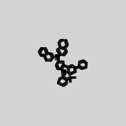 CC1(C)C2=C(CCC=C2)n2c3ccc(N(c4ccc5c(c4)CCC=C5)c4ccc5ccccc5c4)cc3c3cc(C4=CCCC=C4)cc1c32